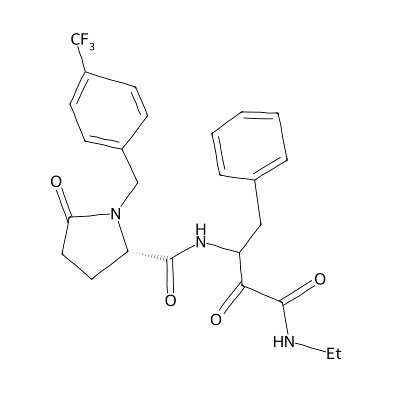 CCNC(=O)C(=O)C(Cc1ccccc1)NC(=O)[C@@H]1CCC(=O)N1Cc1ccc(C(F)(F)F)cc1